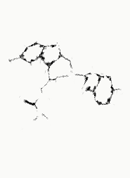 CN(C)C(=O)OCC1CN(c2nc3ccc(Cl)cc3s2)Cc2[nH]c3ccc(Cl)cc3c21